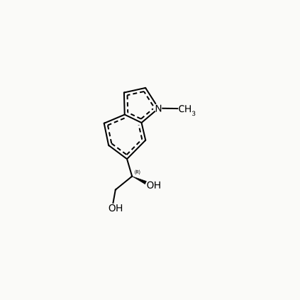 Cn1ccc2ccc([C@@H](O)CO)cc21